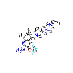 C=C(C1CC1)N(/C=C(\CC)c1cnc(N)c(OC(F)(F)F)c1)CCCN1CCN(C)CC1